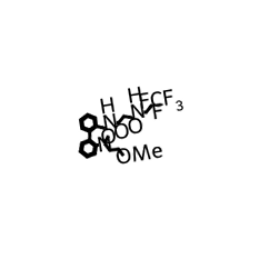 COCCN1O[C@H](NC(=O)CC(=O)NCC(F)(F)C(F)(F)F)c2ccccc2-c2ccccc21